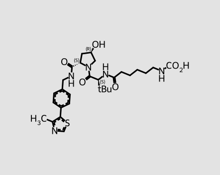 Cc1ncsc1-c1ccc(CNC(=O)[C@@H]2C[C@@H](O)CN2C(=O)[C@@H](NC(=O)CCCCCNC(=O)O)C(C)(C)C)cc1